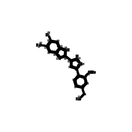 COc1cc(CO)ccc1-c1cc(-c2nc3cc(C(F)(F)F)c(Br)cc3[nH]2)[nH]n1